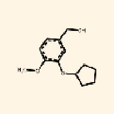 COc1ccc(CO)cc1OC1CCCC1